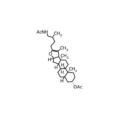 CC(=O)NC[C@@H](C)CCC1=C(C)C2[C@H](C[C@H]3[C@@H]4CC[C@H]5C[C@@H](OC(C)=O)CC[C@]5(C)[C@H]4CC[C@]23C)O1